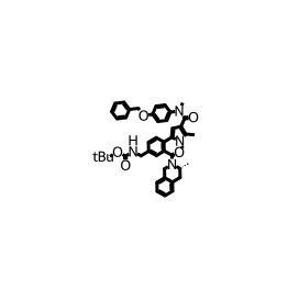 Cc1c(C(=O)N(C)c2ccc(OCc3ccccc3)cc2)cc(-c2ccc(CNC(=O)OC(C)(C)C)cc2C(=O)N2Cc3ccccc3C[C@H]2C)n1C